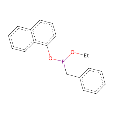 CCOP(Cc1ccccc1)Oc1cccc2ccccc12